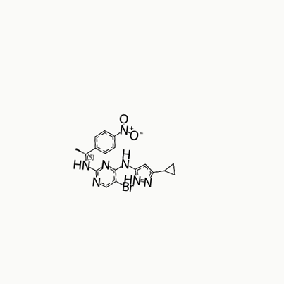 C[C@H](Nc1ncc(Br)c(Nc2cc(C3CC3)n[nH]2)n1)c1ccc([N+](=O)[O-])cc1